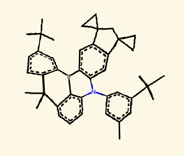 Cc1cc(N2c3cc4c(cc3B3c5cc(C(C)(C)C)ccc5C(C)(C)c5cccc2c53)C2(CC2)CC42CC2)cc(C(C)(C)C)c1